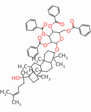 CC(C)=CCC[C@](C)(O)C1CC[C@]2(C)C1C(C)CC1C3(C)CCC(OC4OC(COC(=O)c5ccccc5)C(OC(=O)c5ccccc5)C(OC(=O)c5ccccc5)C4OC(=O)c4ccccc4)C(C)(C)C3CCC12C